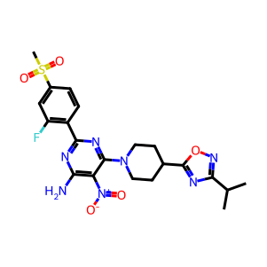 CC(C)c1noc(C2CCN(c3nc(-c4ccc(S(C)(=O)=O)cc4F)nc(N)c3[N+](=O)[O-])CC2)n1